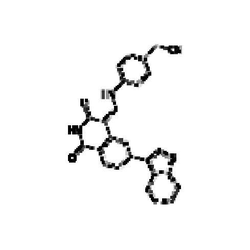 N#CCc1ccc(N/C=C2\C(=O)NC(=O)c3ccc(-c4csc5ccccc45)cc32)cc1